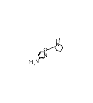 Nc1ccc(OCCC2CCCCN2)nc1